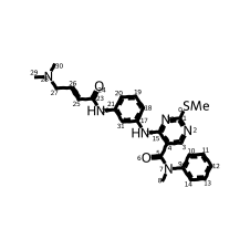 CSc1ncc(C(=O)N(C)c2ccccc2)c(Nc2cccc(NC(=O)C=CCN(C)C)c2)n1